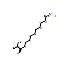 C=C(CCCCCCCCCCN)C(C)C